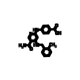 Cc1ccccc1CNc1cc(Nc2ccc(C(=O)O)cc2)ncc1C(N)=O